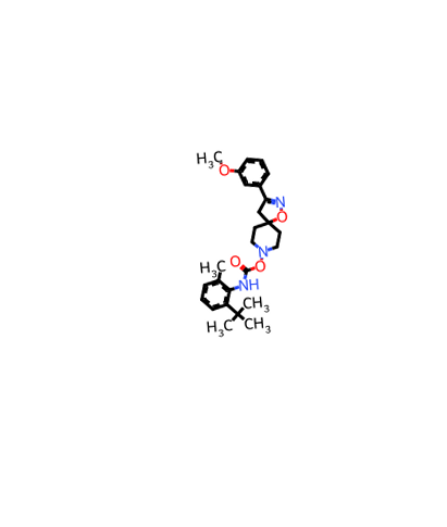 COc1cccc(C2=NOC3(CCN(OC(=O)Nc4c(C)cccc4C(C)(C)C)CC3)C2)c1